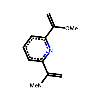 C=C(NC)c1cccc(C(=C)OC)n1